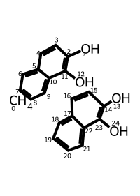 C.Oc1ccc2ccccc2c1O.Oc1ccc2ccccc2c1O